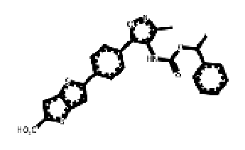 Cc1noc(-c2ccc(-c3cc4sc(C(=O)O)cc4s3)cc2)c1NC(=O)OC(C)c1ccccc1